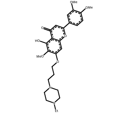 CCN1CCN(CCCOc2cc3oc(-c4ccc(OC)c(OC)c4)cc(=O)c3c(O)c2OC)CC1